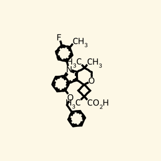 Cc1cc(-n2c3c(c4c(OCc5ccccc5)cccc42)C2(CC(C)(C(=O)O)C2)OCC3(C)C)ccc1F